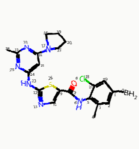 Bc1cc(C)c(NC(=O)c2cnc(Nc3cc(N4CCCC4)nc(C)n3)s2)c(Cl)c1